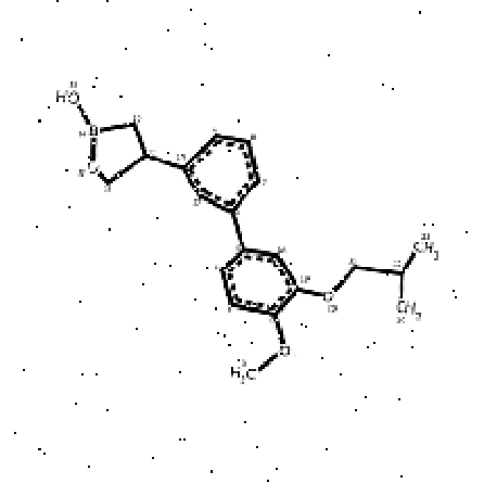 COc1ccc(-c2cccc(C3COB(O)C3)c2)cc1OCC(C)C